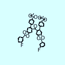 CS(=O)(=O)c1ccc(-c2cc3c(cc2C(=O)c2cc4c(cc2-c2ccc(S(C)(=O)=O)cc2)OC(c2cccc(F)c2)O4)OC(c2cccc(F)c2)O3)cc1